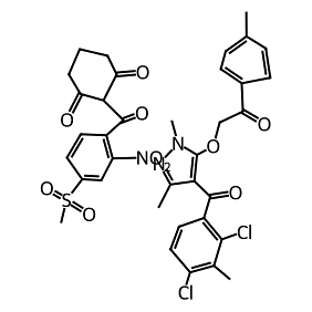 CS(=O)(=O)c1ccc(C(=O)C2C(=O)CCCC2=O)c([N+](=O)[O-])c1.Cc1ccc(C(=O)COc2c(C(=O)c3ccc(Cl)c(C)c3Cl)c(C)nn2C)cc1